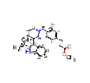 COC(=O)CCc1ccc(CN2CCCC(c3c(C(C)C)[nH]c4ccccc34)C2)c(F)c1